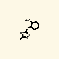 COC1CCCCC1Nc1nnc(C)[nH]1